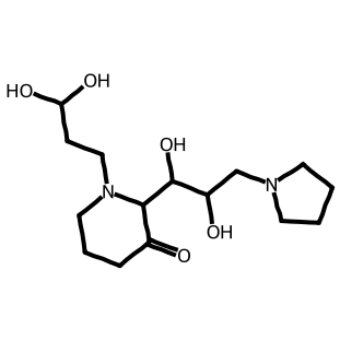 O=C1CCCN(CCC(O)O)C1C(O)C(O)CN1CCCC1